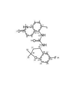 Cc1ccc2[nH]c(=O)ccc2c1NC(=O)N[C@H]1CC(C)(C)Oc2ccc(F)cc21